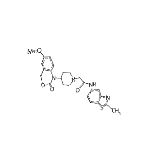 COc1ccc2c(c1)COC(=O)N2C1CCN(CC(=O)Nc2ccc3sc(C)nc3c2)CC1